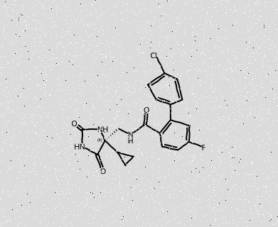 O=C1NC(=O)[C@](CNC(=O)c2ccc(F)cc2-c2ccc(Cl)cc2)(C2CC2)N1